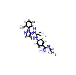 C=C(Nc1ccnn1-c1ccccc1CC)NC1C=CC(C(=N)/N=C\C)=CC1